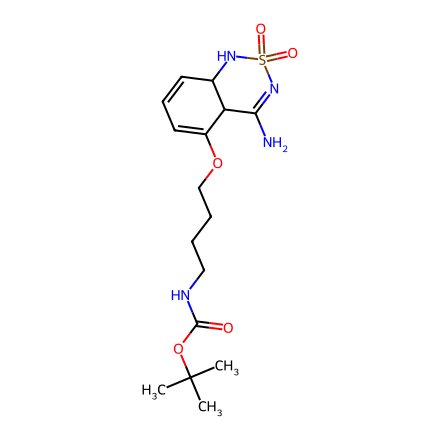 CC(C)(C)OC(=O)NCCCCOC1=CC=CC2NS(=O)(=O)N=C(N)C12